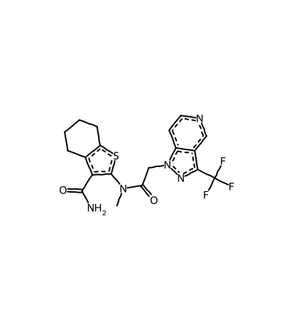 CN(C(=O)Cn1nc(C(F)(F)F)c2cnccc21)c1sc2c(c1C(N)=O)CCCC2